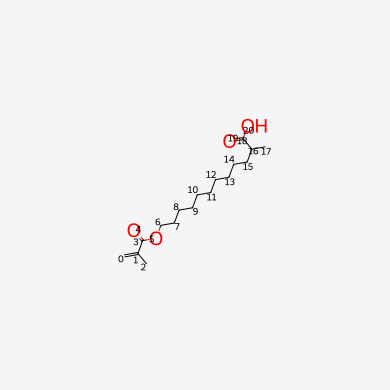 C=C(C)C(=O)OCCCCCCCCCCC(C)C(=O)O